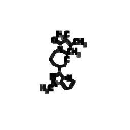 CC(C)=C(C)C(=O)N1CCCC(c2nn(C)c3cccnc23)CCC1